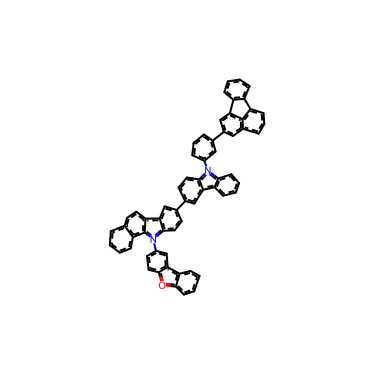 c1cc(-c2cc3c4c(cccc4c2)-c2ccccc2-3)cc(-n2c3ccccc3c3cc(-c4ccc5c(c4)c4ccc6ccccc6c4n5-c4ccc5oc6ccccc6c5c4)ccc32)c1